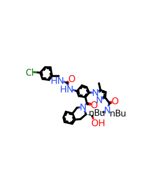 CCCCN(CCCC)C(=O)c1cc(C)n(-c2ccc(NC(=O)NCc3ccc(Cl)cc3)cc2C(=O)N2Cc3ccccc3C[C@H]2CO)n1